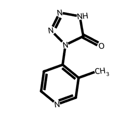 Cc1cnccc1-n1nn[nH]c1=O